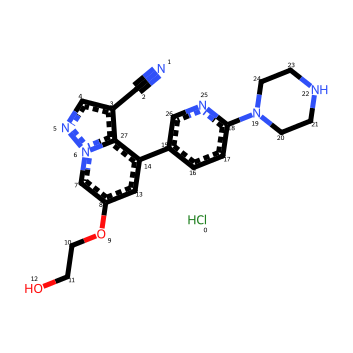 Cl.N#Cc1cnn2cc(OCCO)cc(-c3ccc(N4CCNCC4)nc3)c12